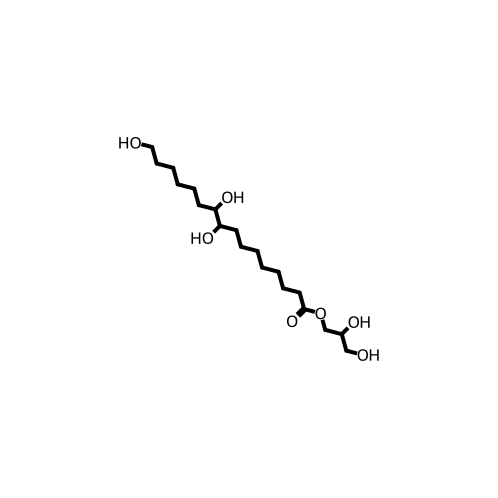 O=C(CCCCCCCC(O)C(O)CCCCCCO)OCC(O)CO